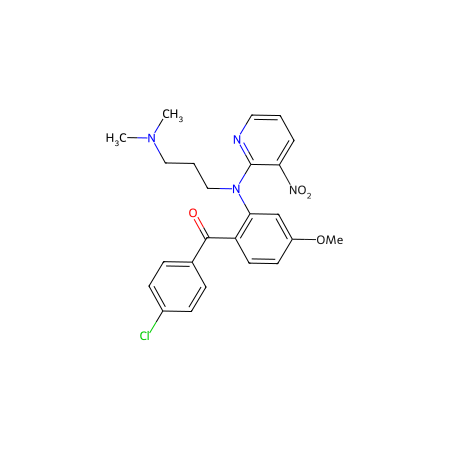 COc1ccc(C(=O)c2ccc(Cl)cc2)c(N(CCCN(C)C)c2ncccc2[N+](=O)[O-])c1